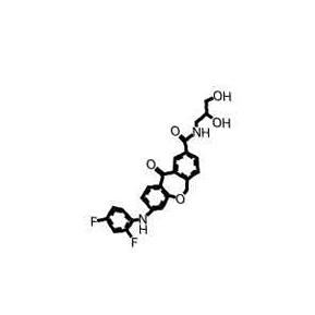 O=C(NCC(O)CO)c1ccc2c(c1)C(=O)c1ccc(Nc3ccc(F)cc3F)cc1OC2